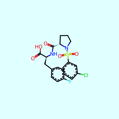 O=C(O)[C@H](Cc1ccc(F)cc1)NC(=O)[C@@H]1CCCN1S(=O)(=O)c1cccc(Cl)c1